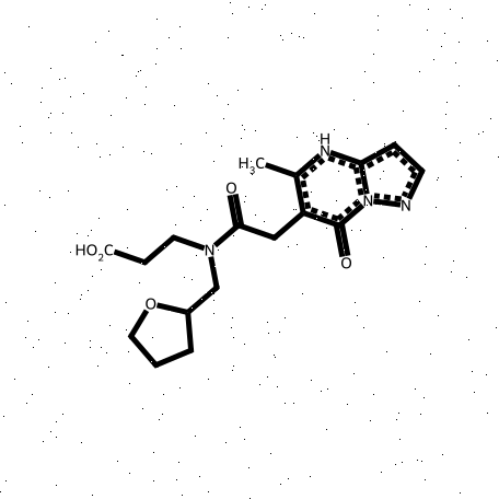 Cc1[nH]c2ccnn2c(=O)c1CC(=O)N(CCC(=O)O)CC1CCCO1